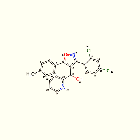 Cc1ccc(-c2onc(-c3ccc(Cl)cc3Cl)c2C(O)c2ccccn2)cc1